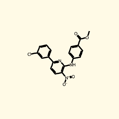 COC(=O)c1ccc(Nc2nc(-c3cccc(Cl)c3)ccc2[N+](=O)[O-])cc1